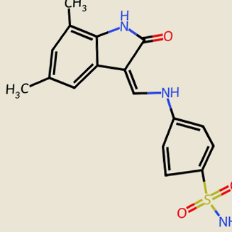 Cc1cc(C)c2c(c1)/C(=C/Nc1ccc(S(N)(=O)=O)cc1)C(=O)N2